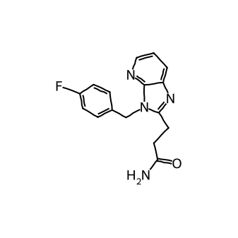 NC(=O)CCc1nc2cccnc2n1Cc1ccc(F)cc1